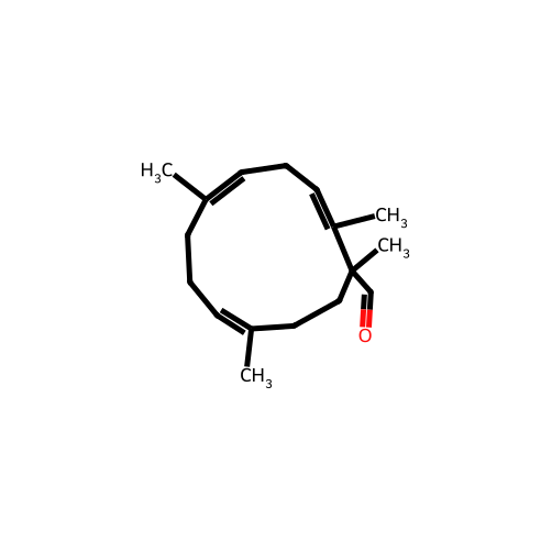 C/C1=C/C/C=C(/C)C(C)(C=O)CC/C(C)=C\CC1